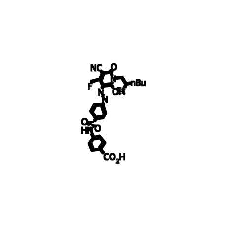 CCCCC(CC)Cn1c(O)c(/N=N/c2ccc(S(=O)(=O)Nc3ccc(C(=O)O)cc3)cc2)c(CF)c(C#N)c1=O